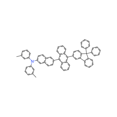 Cc1cccc(N(c2cccc(C)c2)c2ccc3cc(-c4c5ccccc5c(-c5ccc6c(c5)-c5ccccc5C6(c5ccccc5)c5ccccc5)c5ccccc45)ccc3c2)c1